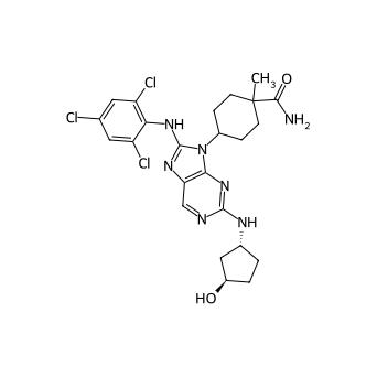 CC1(C(N)=O)CCC(n2c(Nc3c(Cl)cc(Cl)cc3Cl)nc3cnc(N[C@@H]4CC[C@@H](O)C4)nc32)CC1